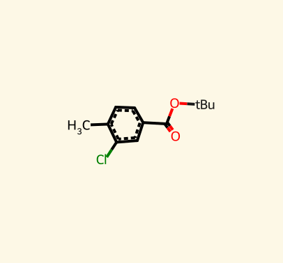 Cc1ccc(C(=O)OC(C)(C)C)cc1Cl